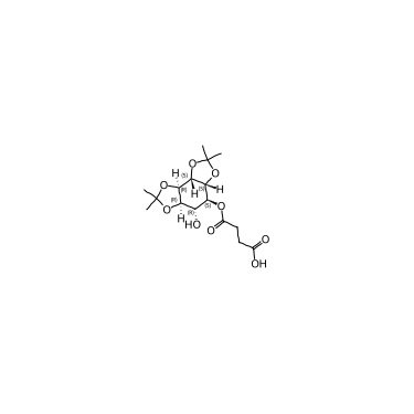 CC1(C)O[C@H]2[C@@H]3OC(C)(C)O[C@@H]3[C@@H](O)[C@H](OC(=O)CCC(=O)O)[C@H]2O1